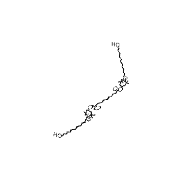 CC1(C)CC(OC(=O)CCCCCCCCC(=O)OC2CC(C)(C)N(OCCCCCCCCCCCCO)C(C)(C)C2)CC(C)(C)N1OCCCCCCCCCCCCO